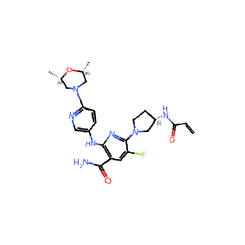 C=CC(=O)N[C@H]1CCN(c2nc(Nc3ccc(N4C[C@@H](C)O[C@@H](C)C4)nc3)c(C(N)=O)cc2F)C1